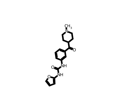 CN1CCC(C(=O)c2cccc(NC(=O)Nc3ccco3)c2)CC1